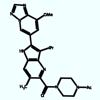 COc1cc(-c2[nH]c3cc(C)c(C(=O)N4CCN(C(C)=O)CC4)nc3c2C(C)C)cn2ncnc12